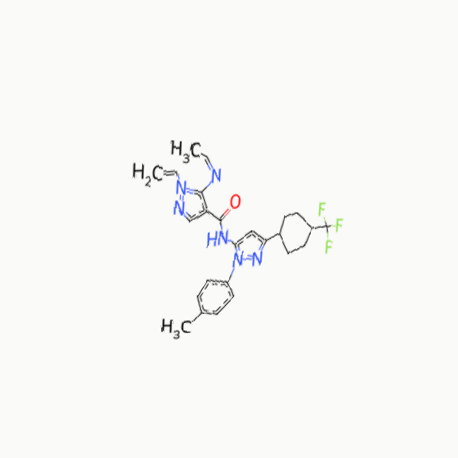 C=Cn1ncc(C(=O)Nc2cc(C3CCC(C(F)(F)F)CC3)nn2-c2ccc(C)cc2)c1/N=C\C